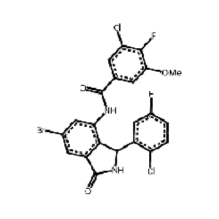 COc1cc(C(=O)Nc2cc(Br)cc3c2C(c2cc(F)ccc2Cl)NC3=O)cc(Cl)c1F